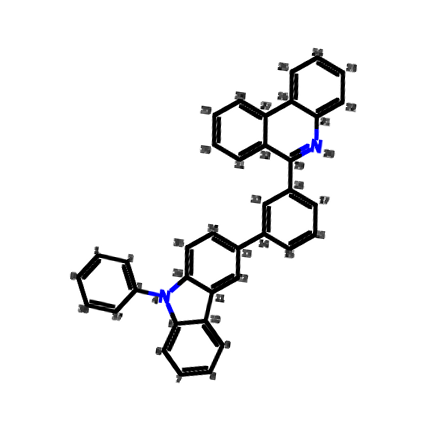 c1ccc(-n2c3ccccc3c3cc(-c4cccc(-c5nc6ccccc6c6ccccc56)c4)ccc32)cc1